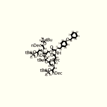 CCCCCCCCCCC(CN(CCCOC(=O)[C@H](CCc1ccc(OCc2ccccc2)cc1)NC(=O)CCCN(CC(CCCCCCCCCC)O[Si](C)(C)C(C)(C)C)CC(CCCCCCCCCC)O[Si](C)(C)C(C)(C)C)CC(CCCCCCCCCC)O[Si](C)(C)C(C)(C)C)O[Si](C)(C)C(C)(C)C